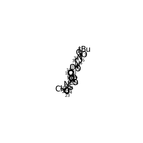 CC(C)(C)OC(=O)N1CCN(C(=O)Oc2ccc3cc(-c4nc5c(Cl)cccc5s4)c(=O)oc3c2)CC1